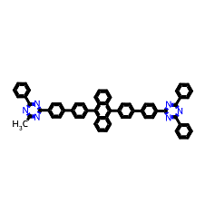 Cc1nc(-c2ccccc2)nc(-c2ccc(-c3ccc(-c4c5ccccc5c(-c5ccc(-c6ccc(-c7nc(-c8ccccc8)nc(-c8ccccc8)n7)cc6)cc5)c5ccccc45)cc3)cc2)n1